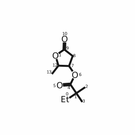 CCC(C)(C)C(=O)OC1CC(=O)OC1C